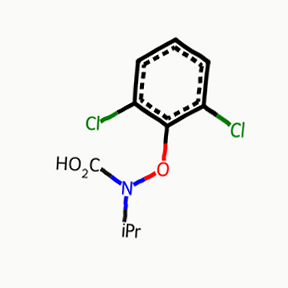 CC(C)N(Oc1c(Cl)cccc1Cl)C(=O)O